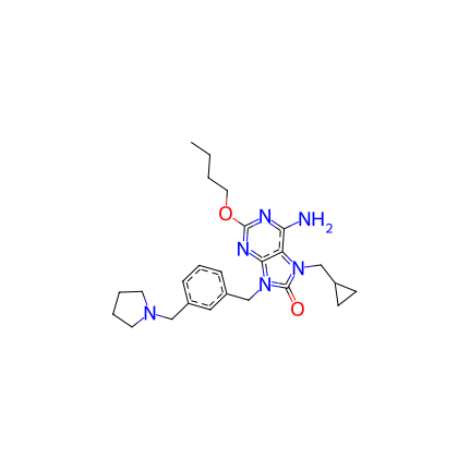 CCCCOc1nc(N)c2c(n1)n(Cc1cccc(CN3CCCC3)c1)c(=O)n2CC1CC1